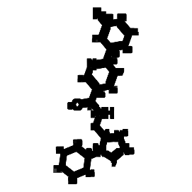 O=C(NCc1nncn1C1CCCCC1)c1ccc(-c2cccc(F)c2)nc1